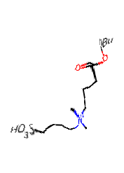 CCCCOC(=O)CCC[N+](C)(C)CCCS(=O)(=O)O